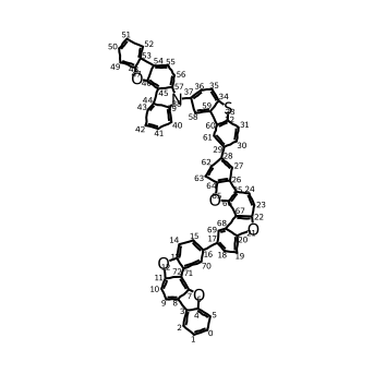 c1ccc2c(c1)oc1c2ccc2oc3ccc(-c4ccc5oc6ccc7c8cc(-c9ccc%10sc%11ccc(-n%12c%13ccccc%13c%13c%14oc%15ccccc%15c%14ccc%13%12)cc%11c%10c9)ccc8oc7c6c5c4)cc3c21